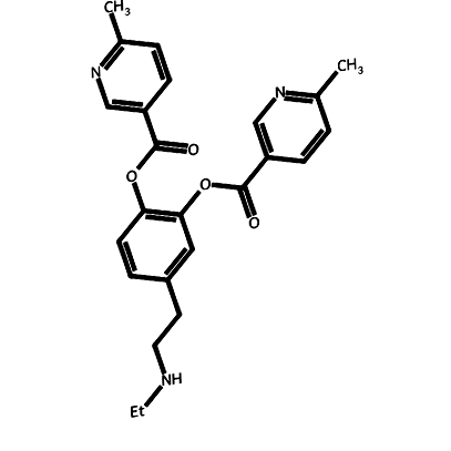 CCNCCc1ccc(OC(=O)c2ccc(C)nc2)c(OC(=O)c2ccc(C)nc2)c1